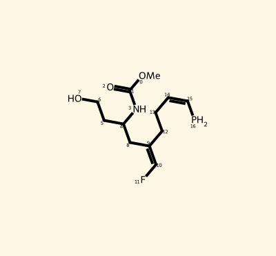 COC(=O)NC(CCO)C/C(=C\F)CC/C=C\P